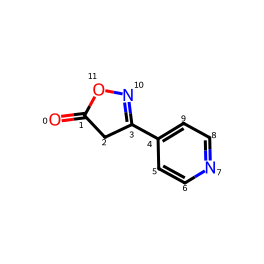 O=C1CC(c2ccncc2)=NO1